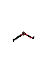 CCC(C)CCCCCCCCCCCCCOS(=O)(=O)OCCCCCCCCCCCCCC(C)CC